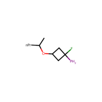 CCCC(C)OC1CC(F)(P)C1